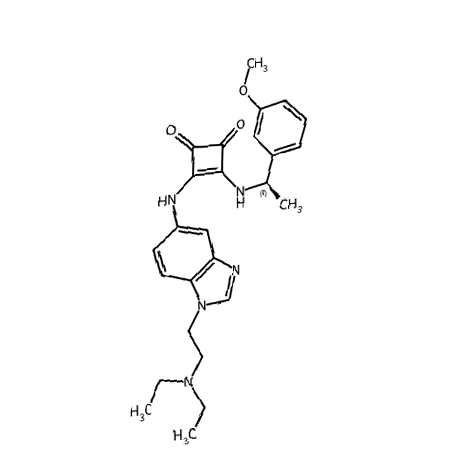 CCN(CC)CCn1cnc2cc(Nc3c(N[C@H](C)c4cccc(OC)c4)c(=O)c3=O)ccc21